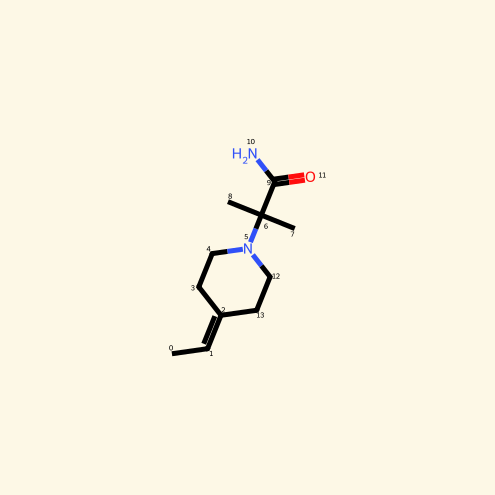 CC=C1CCN(C(C)(C)C(N)=O)CC1